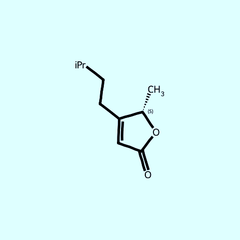 CC(C)CCC1=CC(=O)O[C@H]1C